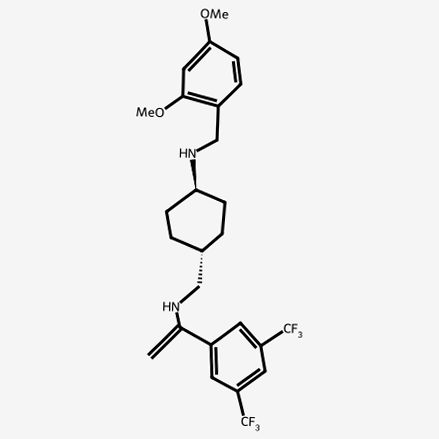 C=C(NC[C@H]1CC[C@H](NCc2ccc(OC)cc2OC)CC1)c1cc(C(F)(F)F)cc(C(F)(F)F)c1